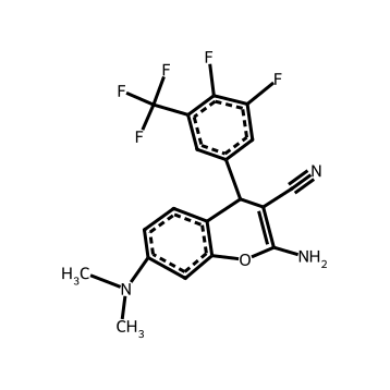 CN(C)c1ccc2c(c1)OC(N)=C(C#N)C2c1cc(F)c(F)c(C(F)(F)F)c1